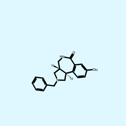 O=C1NC[C@H]2CN(Cc3ccccc3)C[C@@H]2c2ccc(O)cc21